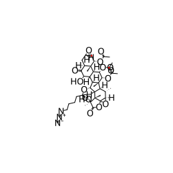 CC(=O)O[C@H]1[C@H]2[C@H]([C@@H]3[C@@H](OC(=O)CCCCN=[N+]=[N-])[C@@H]4[C@H]([C@H](C)[C@H]5O[C@]56OC(=O)[C@@](C)(O)[C@]46C)[C@@]3(C)[C@H]1OC(C)=O)[C@@H](O)C(=O)[C@H]1C[C@@H]3O[C@@H]3[C@H](OC(C)=O)[C@]21C